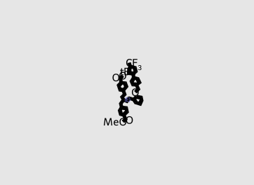 COC(=O)c1ccc(CC(/C=C/c2ccccc2OCc2ccc(-c3ccc(C(F)(F)F)cc3)cc2)CCc2ccc(C(=O)OC(C)(C)C)cc2)cc1